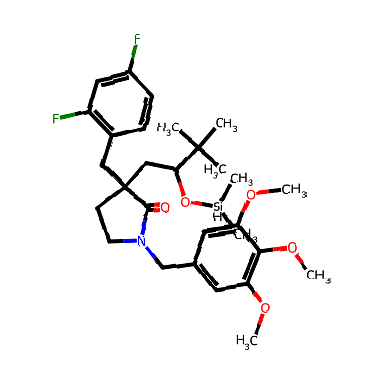 COc1cc(CN2CCC(Cc3ccc(F)cc3F)(CC(O[SiH](C)C)C(C)(C)C)C2=O)cc(OC)c1OC